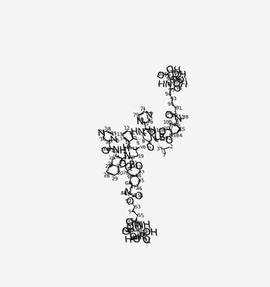 CC(C)C[C@H](NC(=O)[C@H](Cc1ccccc1CC(C)C[C@H](NC(=O)[C@H](Cc1ccccc1)NC(=O)c1cnccn1)B1OCc2ccc(N(C)C(=O)OCCCC(=O)NC(P(=O)(O)O)P(=O)(O)O)cc2CO1)NC(=O)c1cnccn1)B1Oc2ccc(N(C)C(=O)CCCCC(=O)NC(C(=O)O)P(=O)(O)O)cc2O1